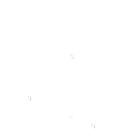 c1ccc2c(N(c3ccc4oc5ncccc5c4c3)c3cccc4oc5cnccc5c34)cccc2c1